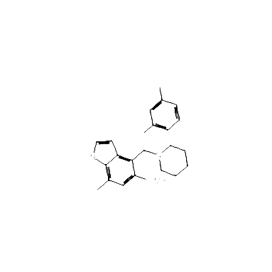 COc1cc(C)c2[nH]ccc2c1CN1CCCC[C@H]1c1ccc(C(=O)O)cc1F